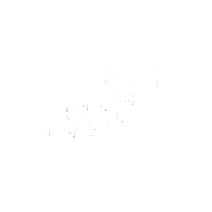 CC(C)Oc1cnc(-c2nsc(Nc3ncccc3N3CCCC3O)n2)cc1C(F)(F)F